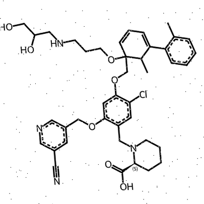 Cc1ccccc1C1=CC=CC(COc2cc(OCc3cncc(C#N)c3)c(CN3CCCC[C@H]3C(=O)O)cc2Cl)(OCCCNCC(O)CO)C1C